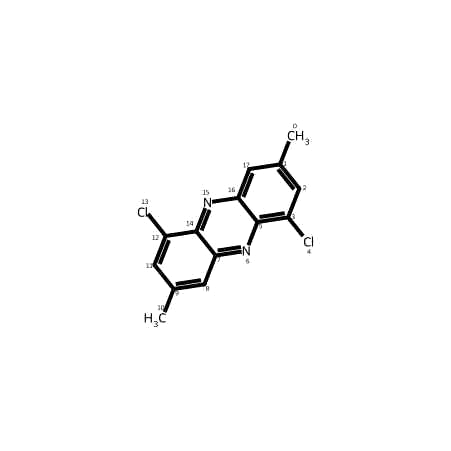 Cc1cc(Cl)c2nc3cc(C)cc(Cl)c3nc2c1